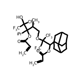 C=CC(=O)OC(C12CC3CC(CC(C3)C1)C2)C(OCC(C)C(OC(=O)C=C)(C(C)C)C(O)(C(F)(F)F)C(F)(F)F)(C(F)(F)F)C(F)(F)F